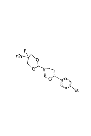 CCCC1(F)COC(C2=COC(c3ccc(CC)cc3)CC2)OC1